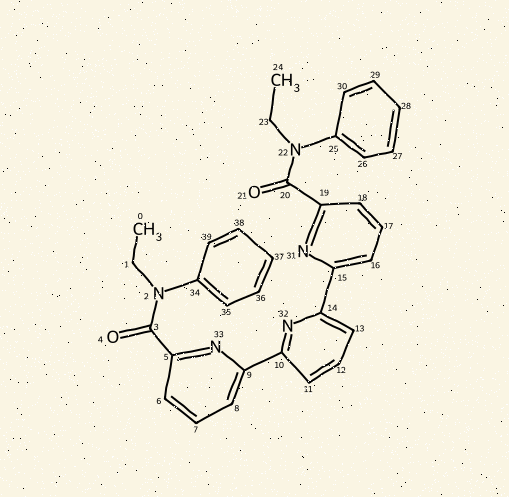 CCN(C(=O)c1cccc(-c2cccc(-c3cccc(C(=O)N(CC)c4ccccc4)n3)n2)n1)c1ccccc1